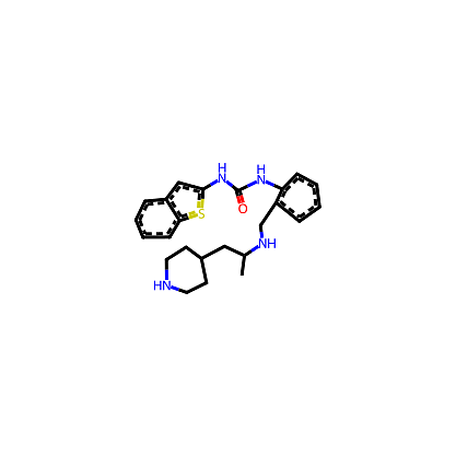 CC(CC1CCNCC1)NCc1ccccc1NC(=O)Nc1cc2ccccc2s1